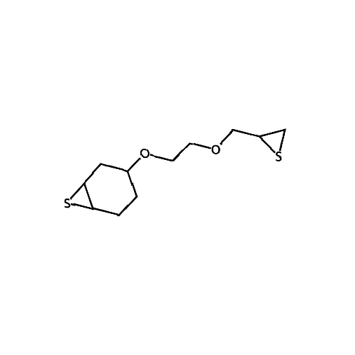 C(COC1CCC2SC2C1)OCC1CS1